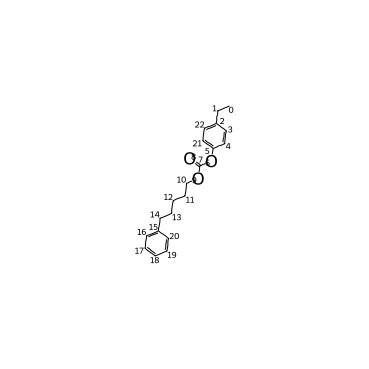 CCc1ccc(OC(=O)OCCCCCc2ccccc2)cc1